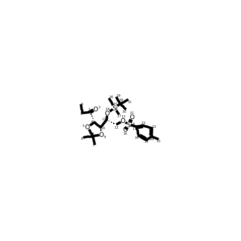 CCC(=O)[C@H]1OC(C)(C)O[C@H]1[C@@H](COS(=O)(=O)c1ccc(C)cc1)O[Si](C)(C)C(C)(C)C